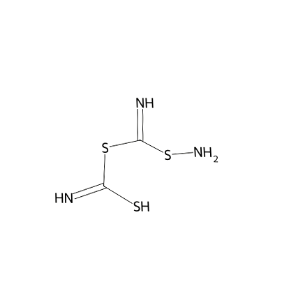 N=C(S)SC(=N)SN